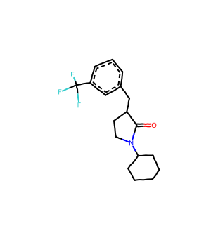 O=C1C(Cc2cccc(C(F)(F)F)c2)CCN1C1CCCCC1